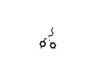 C[C@@H](CCO)CCN(Cc1ccc(Br)cc1)S(=O)(=O)c1ccc(Cl)cc1